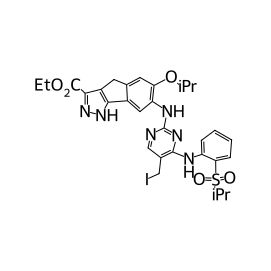 CCOC(=O)c1n[nH]c2c1Cc1cc(OC(C)C)c(Nc3ncc(CI)c(Nc4ccccc4S(=O)(=O)C(C)C)n3)cc1-2